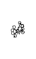 COC(=O)c1nn(C(=O)OC)c(CN2CCCC2=O)c1C(=O)OC